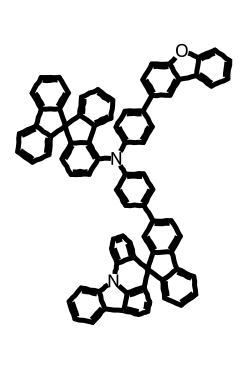 c1ccc2c(c1)-c1ccccc1C21c2ccccc2-c2c(N(c3ccc(-c4ccc5c(c4)C4(c6ccccc6-5)c5ccccc5-n5c6ccccc6c6cccc4c65)cc3)c3ccc(-c4ccc5oc6ccccc6c5c4)cc3)cccc21